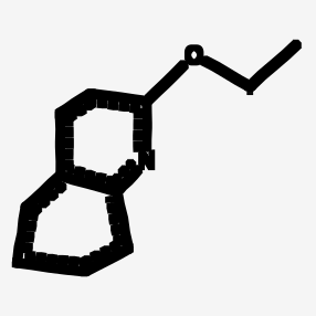 C[CH]Oc1ccc2ccccc2n1